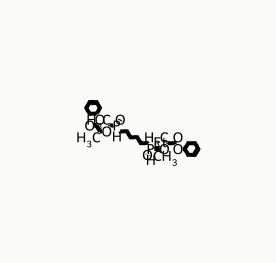 CCC(C)(OC(C)C(=O)OC1CC=CCC1)[PH](=O)CCCCCC[PH](=O)C(C)OC(C)C(=O)OC1CC=CCC1